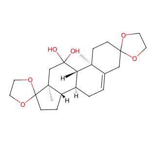 C[C@]12CCC3(CC1=CC[C@@H]1[C@@H]2C(O)(O)C[C@@]2(C)[C@H]1CCC21OCCO1)OCCO3